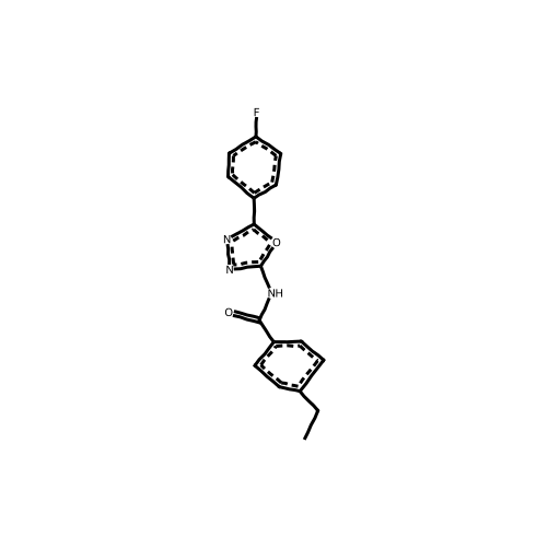 CCc1ccc(C(=O)Nc2nnc(-c3ccc(F)cc3)o2)cc1